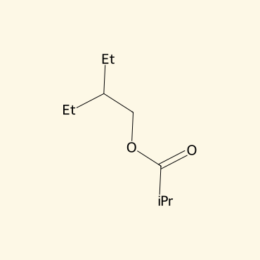 CCC(CC)COC(=O)C(C)C